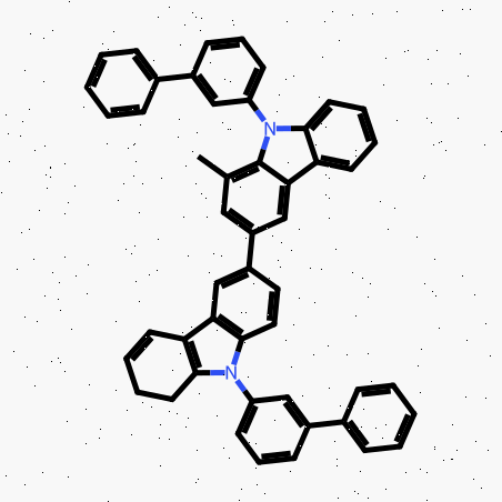 Cc1cc(-c2ccc3c(c2)c2c(n3-c3cccc(-c4ccccc4)c3)CCC=C2)cc2c3ccccc3n(-c3cccc(-c4ccccc4)c3)c12